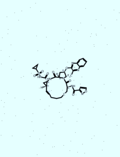 O=C(N[C@H]1CCCCC/C=C\[C@@H]2C[C@@]2(C(=O)NS(=O)(=O)C2CC2)NC(=O)[C@@H]2C[C@@H](Oc3nc4ccccc4nc3C(F)(F)F)CN2C1=O)c1ccon1